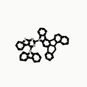 c1ccc2c(c1)CC1c3c-2cc2c(c3-c3ccc4ccccc4c31)c1ccccc1n2-c1nc(-n2c3ccccc3c3ccccc32)c2c(n1)sc1ccccc12